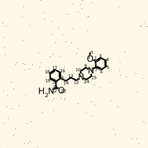 COc1ccccc1N1CCN(CCCc2ccccc2C(N)=O)CC1